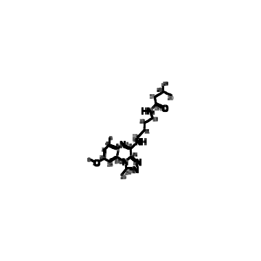 COc1cc(C)c2nc(NCCCCNC(=O)CC(C)C)c3nnc(C)n3c2c1